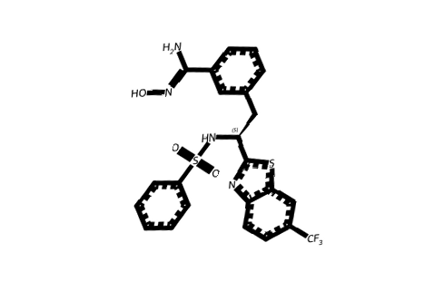 NC(=NO)c1cccc(C[C@H](NS(=O)(=O)c2ccccc2)c2nc3ccc(C(F)(F)F)cc3s2)c1